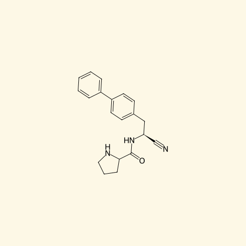 N#C[C@H](Cc1ccc(-c2ccccc2)cc1)NC(=O)C1CCCN1